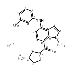 Cl.Cn1ccc2c(Nc3cccc(Cl)c3)ncc(C(=O)N3CC[C@H](O)C3)c21